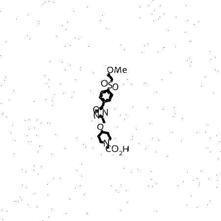 COCCS(=O)(=O)c1ccc(-c2nc(COC3CCN(C(=O)O)CC3)no2)cc1